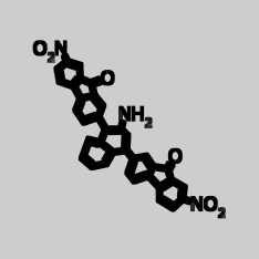 Nc1cc(-c2ccc3c(c2)C(=O)c2cc([N+](=O)[O-])ccc2-3)c2ccccc2c1-c1ccc2c(c1)C(=O)c1cc([N+](=O)[O-])ccc1-2